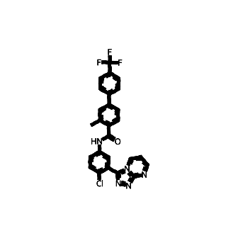 Cc1cc(-c2ccc(C(F)(F)F)cc2)ccc1C(=O)Nc1ccc(Cl)c(-c2nnc3ncccn23)c1